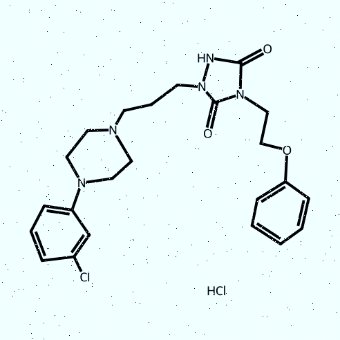 Cl.O=c1[nH]n(CCCN2CCN(c3cccc(Cl)c3)CC2)c(=O)n1CCOc1ccccc1